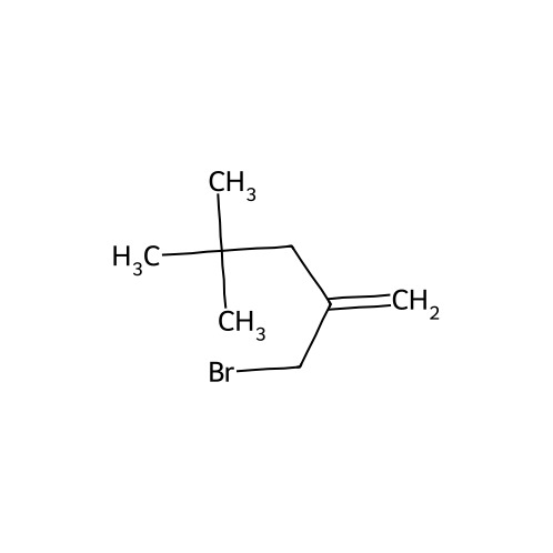 C=C(CBr)CC(C)(C)C